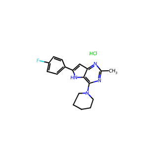 Cc1nc(N2CCCCC2)c2[nH]c(-c3ccc(F)cc3)cc2n1.Cl